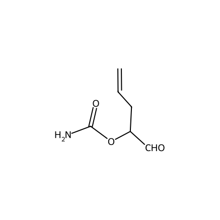 C=CCC(C=O)OC(N)=O